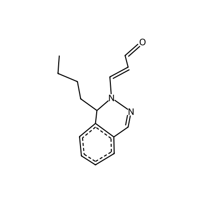 CCCCC1c2ccccc2C=NN1C=CC=O